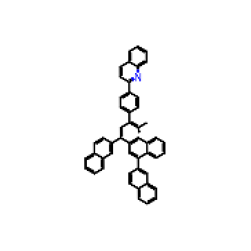 CC(C)=C(/C=C(/c1ccc2ccccc2c1)c1cc(-c2ccc3ccccc3c2)c2ccccc2c1)c1ccc(-c2ccc3ccccc3n2)cc1